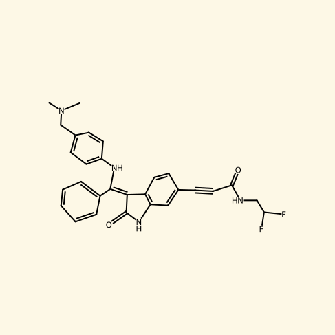 CN(C)Cc1ccc(N/C(=C2/C(=O)Nc3cc(C#CC(=O)NCC(F)F)ccc32)c2ccccc2)cc1